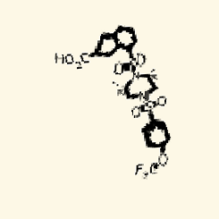 C[C@@H]1CN(S(=O)(=O)c2ccc(OC(F)(F)F)cc2)C[C@H](C)N1S(=O)(=O)c1cccc2c1CC(C(=O)O)C2